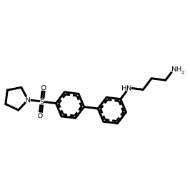 NCCCNc1cccc(-c2ccc(S(=O)(=O)N3CCCC3)cc2)c1